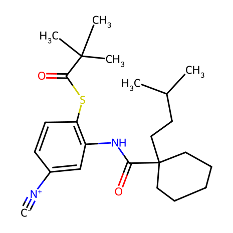 [C-]#[N+]c1ccc(SC(=O)C(C)(C)C)c(NC(=O)C2(CCC(C)C)CCCCC2)c1